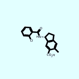 Cc1cc2c(cc1C(=O)O)[C@H](NC(=O)c1ccccc1Cl)CC2